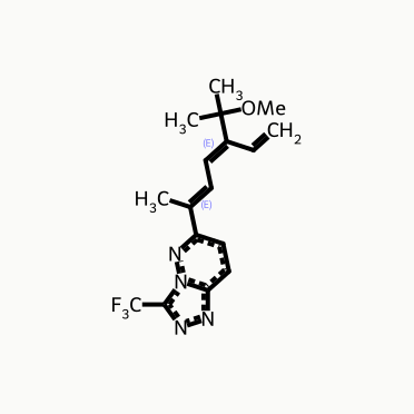 C=C/C(=C\C=C(/C)c1ccc2nnc(C(F)(F)F)n2n1)C(C)(C)OC